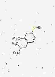 CCSc1ccc(C=C(C)[N+](=O)[O-])c(OC)c1